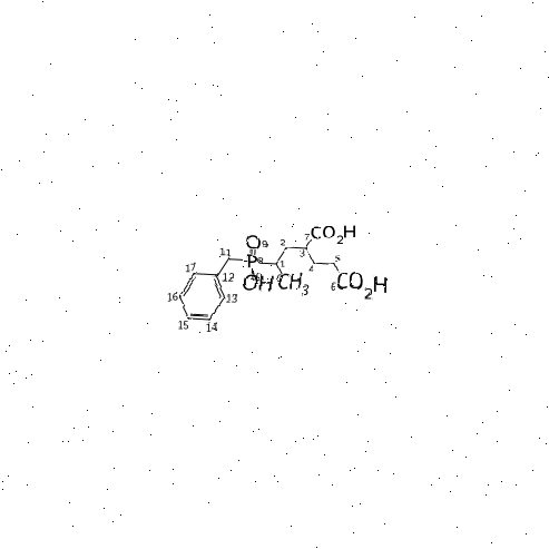 CC(CC(CCC(=O)O)C(=O)O)P(=O)(O)Cc1ccccc1